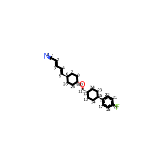 N#C/C=C/C=C/[C@H]1CC[C@H](OC[C@H]2CC[C@H](c3ccc(F)cc3)CC2)CC1